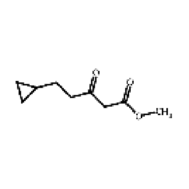 COC(=O)CC(=O)CCC1CC1